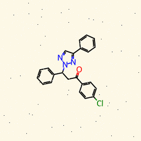 O=C(CC(c1ccccc1)n1ncc(-c2ccccc2)n1)c1ccc(Cl)cc1